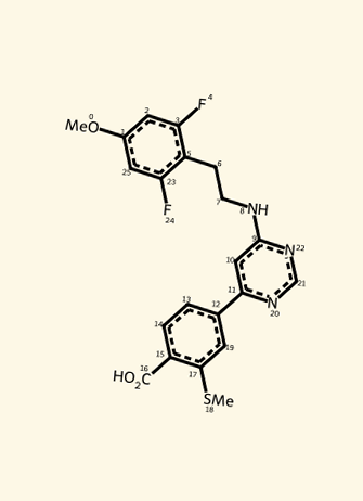 COc1cc(F)c(CCNc2cc(-c3ccc(C(=O)O)c(SC)c3)ncn2)c(F)c1